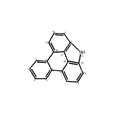 c1ccc2c(c1)c1cccc3[nH]c4cccc2c4c31